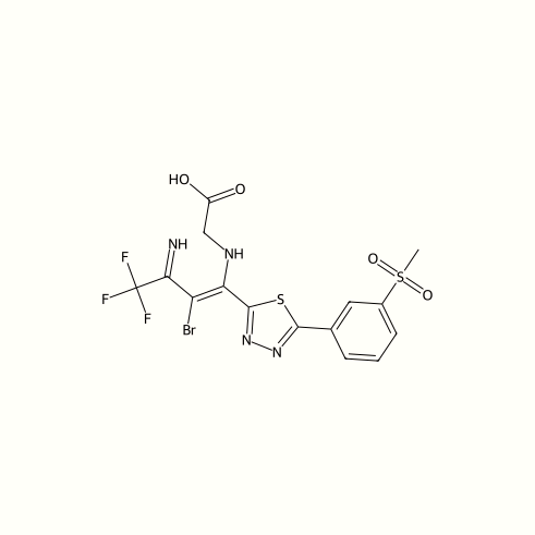 CS(=O)(=O)c1cccc(-c2nnc(/C(NCC(=O)O)=C(\Br)C(=N)C(F)(F)F)s2)c1